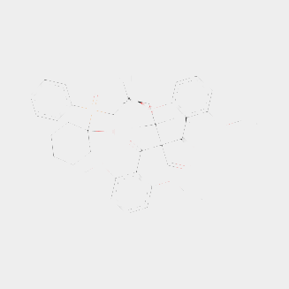 COc1cccc(OC)c1C(=O)C(C=O)(C(=O)c1c(OC)cccc1OC)C(C)(C)CC(C)CP(=O)(c1ccccc1)C1(O)CCCCC1